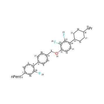 CCCCCc1ccc(-c2ccc(COc3ccc(C4CCC(CCC)CC4)c(F)c3F)cc2)c(F)c1